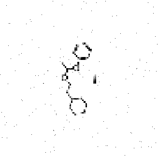 C=C.CC(OCCC1CCCCC1)Oc1ccccc1